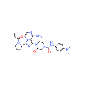 C=CC(=O)N1CCCC1c1nc(N2CCN(C(=O)Nc3ccc(N(C)C)cc3)CC2=O)c2c(N)nccn12